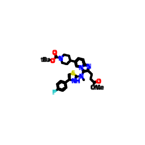 COC(=O)CCc1nc2ccc(C3CCN(C(=O)OC(C)(C)C)CC3)cn2c1N(C)C1NC(c2ccc(F)cc2)=CS1